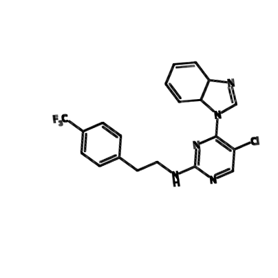 FC(F)(F)c1ccc(CCNc2ncc(Cl)c(N3C=NC4C=CC=CC43)n2)cc1